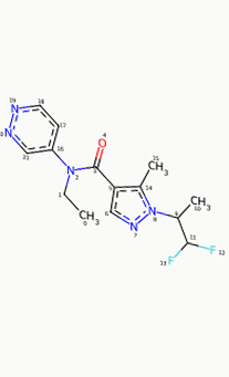 CCN(C(=O)c1cnn(C(C)C(F)F)c1C)c1ccnnc1